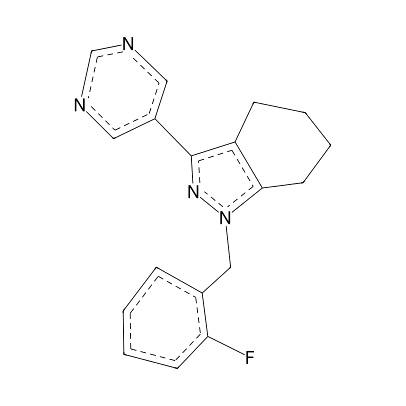 Fc1ccccc1Cn1nc(-c2cncnc2)c2c1CCCC2